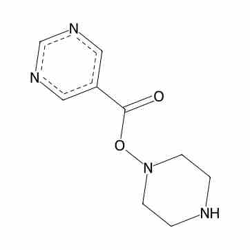 O=C(ON1CCNCC1)c1cncnc1